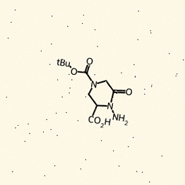 CC(C)(C)OC(=O)N1CC(=O)N(N)C(C(=O)O)C1